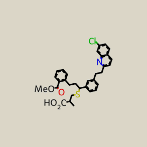 COC(=O)c1ccccc1CCC(SCC(C)C(=O)O)c1cccc(CCc2ccc3ccc(Cl)cc3n2)c1